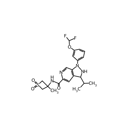 CC(C)C1NN(c2cccc(OC(F)F)c2)c2cnc(C(=O)NC3(C)CS(=O)(=O)C3)cc21